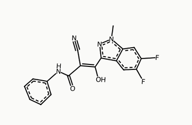 Cn1nc(/C(O)=C(\C#N)C(=O)Nc2ccccc2)c2cc(F)c(F)cc21